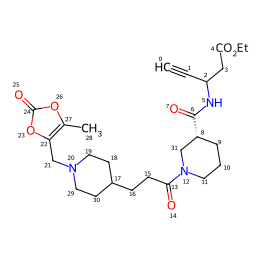 C#CC(CC(=O)OCC)NC(=O)[C@@H]1CCCN(C(=O)CCC2CCN(Cc3oc(=O)oc3C)CC2)C1